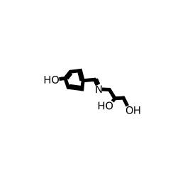 OCC(O)CN=Cc1ccc(O)cc1